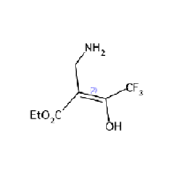 CCOC(=O)/C(CN)=C(\O)C(F)(F)F